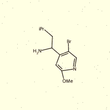 COc1cc(C(N)CC(C)C)c(Br)cn1